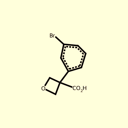 O=C(O)C1(c2cccc(Br)c2)COC1